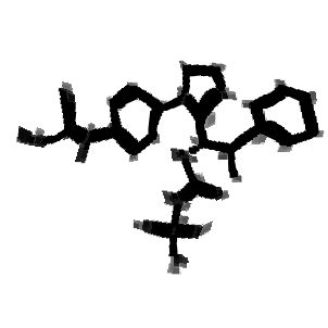 COC(=O)Nc1ccc(-n2ccnc2[C@@H](NC(=O)NS(=O)(=O)C(C)C)[C@H](C)c2ccccc2)cc1